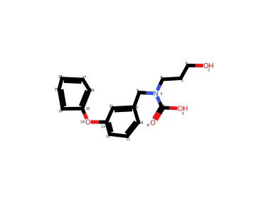 O=C(O)N(CCCO)Cc1cccc(Oc2ccccc2)c1